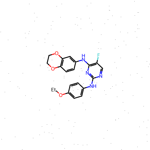 CCOc1ccc(Nc2ncc(F)c(Nc3ccc4c(c3)OCCO4)n2)cc1